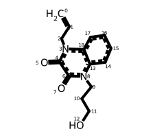 C=[C]Cn1c(=O)c(=O)n(CCCO)c2ccccc21